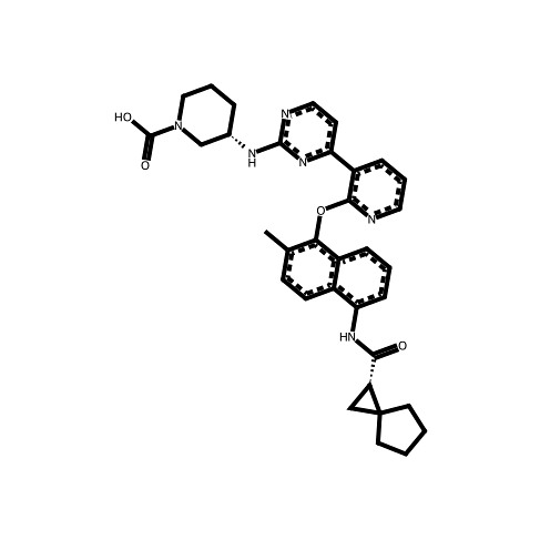 Cc1ccc2c(NC(=O)[C@H]3CC34CCCC4)cccc2c1Oc1ncccc1-c1ccnc(N[C@H]2CCCN(C(=O)O)C2)n1